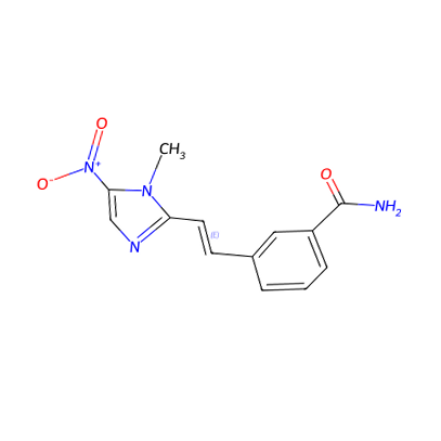 Cn1c([N+](=O)[O-])cnc1/C=C/c1cccc(C(N)=O)c1